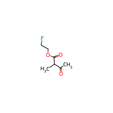 CC(=O)C(C)C(=O)OCCF